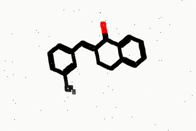 O=C1C(=Cc2cccc(C(F)(F)F)c2)CCc2ccccc21